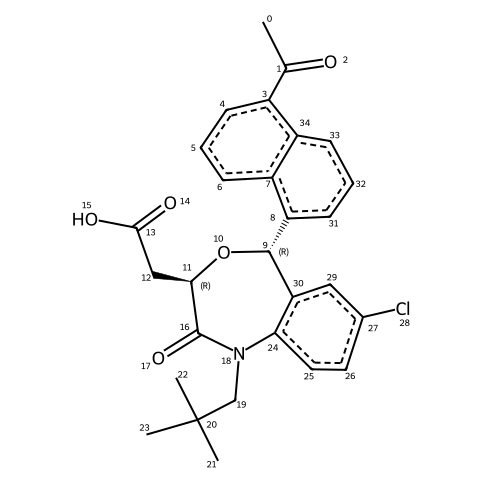 CC(=O)c1cccc2c([C@H]3O[C@H](CC(=O)O)C(=O)N(CC(C)(C)C)c4ccc(Cl)cc43)cccc12